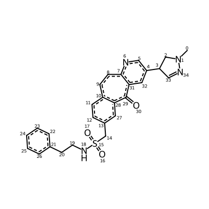 CN1CC(c2cnc3ccc4ccc(CS(=O)(=O)NCCc5ccccc5)cc4c(=O)c3c2)C=N1